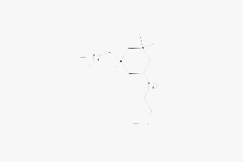 CC1(C)CC(NCCO)CC(C)(CN)C1